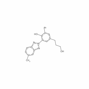 Cc1ccc2nn(-c3cc(CCCO)cc(C(C)C)c3O)nc2c1